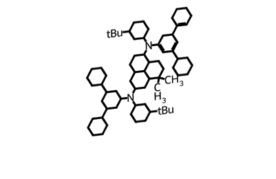 CC(C)(C)C1CCCC(N(C2=CC(C3CCCCC3)=CC(C3=CCCCC3)C2)C2CCC3CC(N(C4CC(C5CCCCC5)CC(C5CCCCC5)C4)C4CCCC(C(C)(C)C)C4)CC4C3C2CCC4(C)C)C1